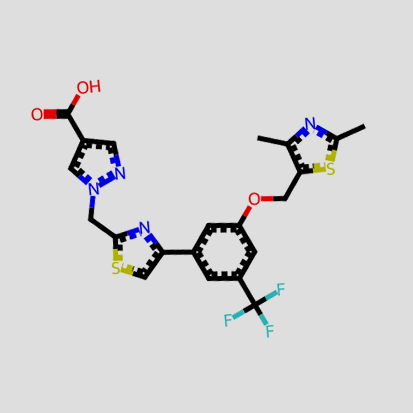 Cc1nc(C)c(COc2cc(-c3csc(Cn4cc(C(=O)O)cn4)n3)cc(C(F)(F)F)c2)s1